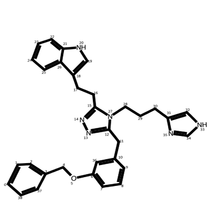 c1ccc(COc2cccc(Cc3nnc(CCc4c[nH]c5ccccc45)n3CCCc3c[nH]cn3)c2)cc1